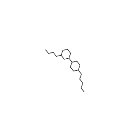 CCCCCC1CCC(C2CCCC(CCCC)C2)CC1